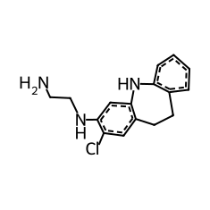 NCCNc1cc2c(cc1Cl)CCc1ccccc1N2